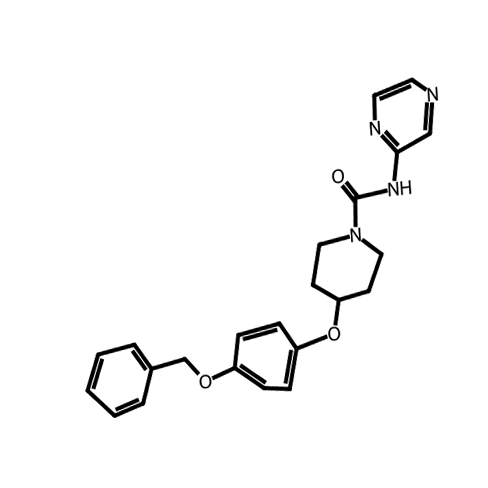 O=C(Nc1cnccn1)N1CCC(Oc2ccc(OCc3ccccc3)cc2)CC1